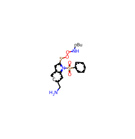 CCCCNOOSc1cc2ccc(CN)cc2n1S(=O)(=O)c1ccccc1